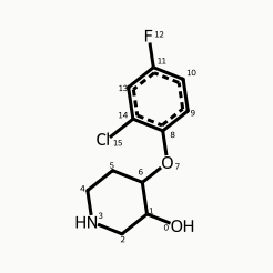 OC1CNCCC1Oc1ccc(F)cc1Cl